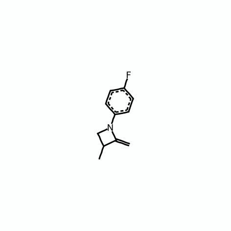 C=C1C(C)CN1c1ccc(F)cc1